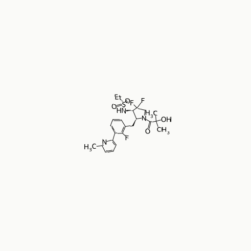 CCS(=O)(=O)N[C@@H]1[C@H](Cc2cccc(-c3cccc(C)n3)c2F)N(C(=O)C(C)(C)O)CC1(F)F